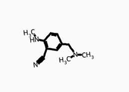 CNc1ccc(CN(C)C)cc1C#N